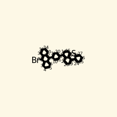 Brc1c2ccccc2c(-c2ccc(-c3ccc4c5c(cccc35)-c3ccccc3S4)cc2)c2ccccc12